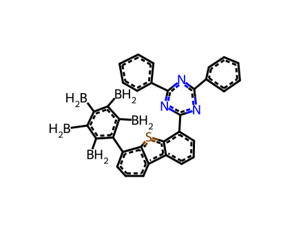 Bc1c(B)c(B)c(-c2cccc3c2sc2c(-c4nc(-c5ccccc5)nc(-c5ccccc5)n4)cccc23)c(B)c1B